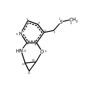 CSCc1ccnc2c1OC1CC1N2